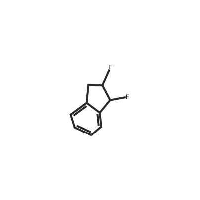 FC1Cc2ccccc2C1F